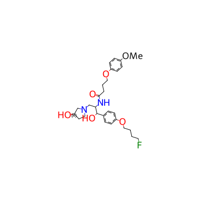 COc1ccc(OCCCC(=O)NC(CN2CC[C@@H](O)C2)C(O)c2ccc(OCCCCF)cc2)cc1